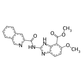 COC(=O)c1c(OC)ccc2nc(NC(=O)c3cc4ccccc4cn3)[nH]c12